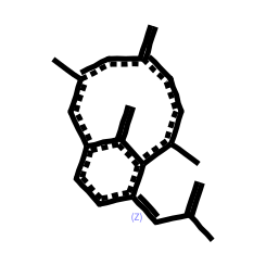 C=C(C)/C=c1/ccc2cc(C)cc(=C)ccc(C)c1c2=C